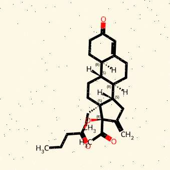 C=C1C[C@H]2[C@@H]3CCC4=CC(=O)CC[C@@H]4[C@H]3CC[C@]2(CC)[C@@]1(OC(=O)CCC)C(C)=O